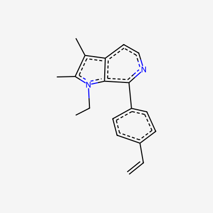 C=Cc1ccc(-c2nccc3c(C)c(C)n(CC)c23)cc1